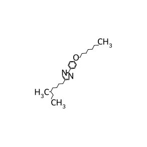 CCCCCCCCOc1ccc(-c2ncc(CCCCC(C)CCC)cn2)cc1